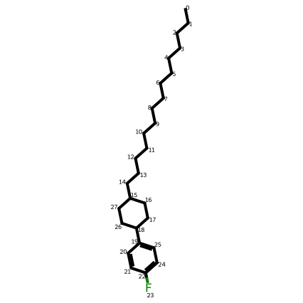 CCCCCCCCCCCCCCCC1CCC(c2ccc(F)cc2)CC1